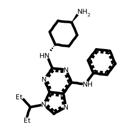 CCC(CC)n1cnc2c(Nc3ccccc3)nc(N[C@H]3CC[C@H](N)CC3)nc21